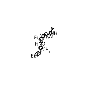 CCC1CN(C(=O)Nc2ccc(CN3CCN(CC)CC3)c(C(F)(F)F)c2)Cc2cc(Oc3ncnc4[nH]c(C5CC5)cc34)cnc21